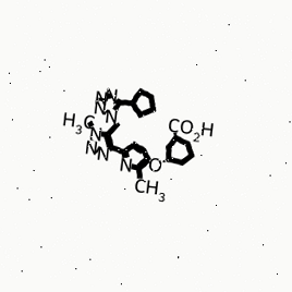 Cc1nc(-c2nnn(C)c2Cn2nnnc2C2CCCC2)ccc1O[C@H]1CCC[C@H](C(=O)O)C1